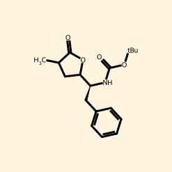 CC1CC([C@H](Cc2ccccc2)NC(=O)OC(C)(C)C)OC1=O